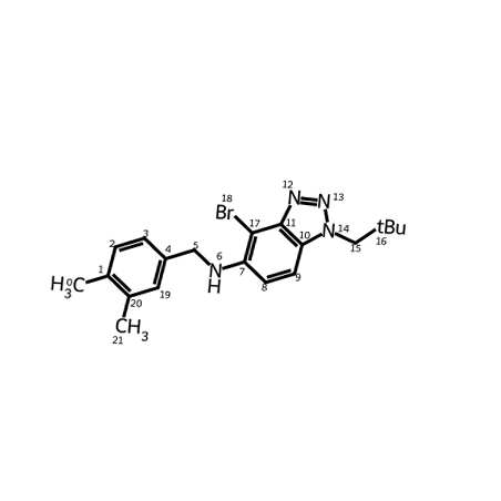 Cc1ccc(CNc2ccc3c(nnn3CC(C)(C)C)c2Br)cc1C